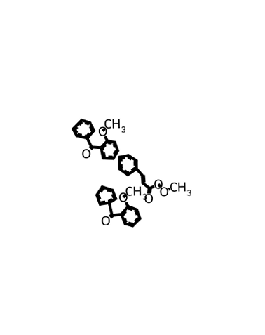 COOC(=O)C=Cc1ccccc1.COc1ccccc1C(=O)c1ccccc1.COc1ccccc1C(=O)c1ccccc1